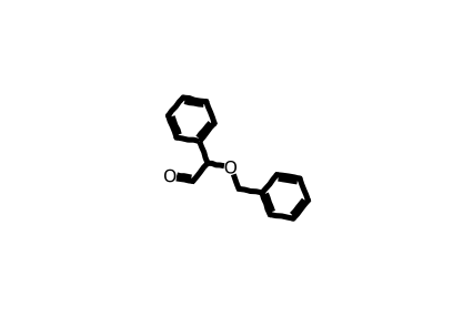 O=CC(OCc1ccccc1)c1ccccc1